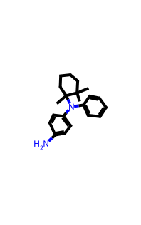 CC1(C)CCCCC1(C)N(c1ccccc1)c1ccc(N)cc1